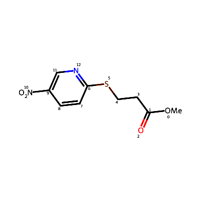 COC(=O)CCSc1ccc([N+](=O)[O-])cn1